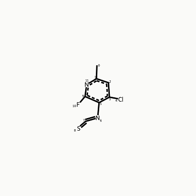 Cc1cc(Cl)c(N=C=S)c(F)n1